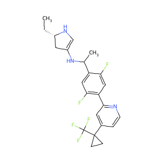 CC[C@H]1CC(NC(C)c2cc(F)c(-c3cc(C4(C(F)(F)F)CC4)ccn3)cc2F)=CN1